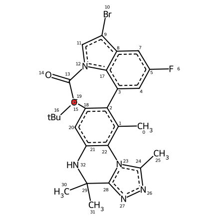 Cc1c(-c2cc(F)cc3c(Br)cn(C(=O)OC(C)(C)C)c23)c(F)cc2c1-n1c(C)nnc1C(C)(C)N2